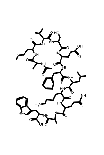 CSCCC(NC(=O)C(C)NC(C)=O)C(=O)NC(C(=O)NC(CO)C(=O)NC(CCC(=O)O)C(=O)NC(Cc1ccccc1)C(=O)NC(CC(C)C)C(=O)NC(CCCCN)C(=O)NC(CCC(N)=O)C(=O)NC(C)C(=O)NC(Cc1c[nH]c2ccccc12)C(=O)O)C(C)C